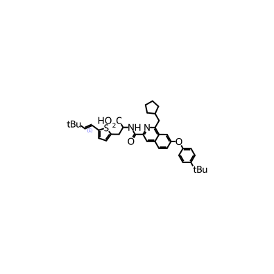 CC(C)(C)/C=C/c1ccc(CC(NC(=O)c2cc3ccc(Oc4ccc(C(C)(C)C)cc4)cc3c(CC3CCCC3)n2)C(=O)O)s1